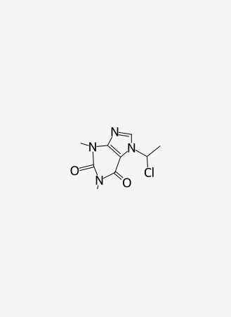 CC(Cl)n1cnc2c1c(=O)n(C)c(=O)n2C